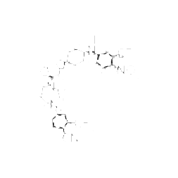 N#Cc1ccc(N2CCCN(C(=O)COC3CCC(Nc4ccc([N+](=O)[O-])c(C(F)(F)F)c4)CC3)CC2)cc1C(F)(F)F